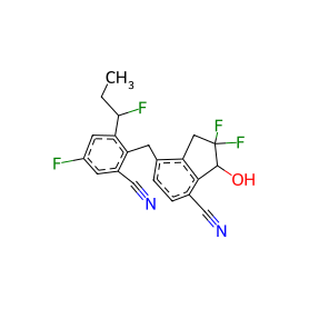 CCC(F)c1cc(F)cc(C#N)c1Cc1ccc(C#N)c2c1CC(F)(F)C2O